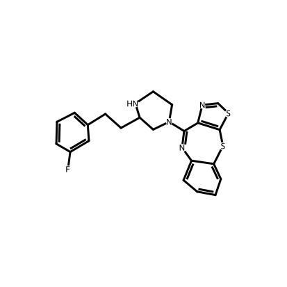 Fc1cccc(CCC2CN(C3=Nc4ccccc4Sc4scnc43)CCN2)c1